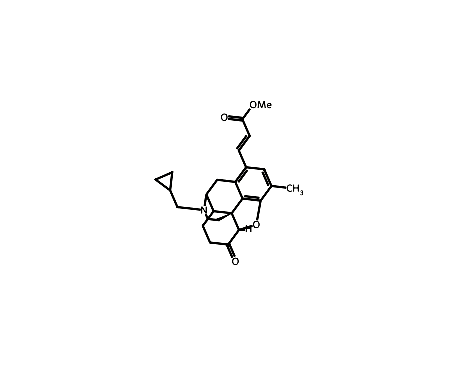 COC(=O)/C=C/c1cc(C)c2c3c1CC1C4CCC(=O)[C@@H](O2)[C@@]34CCN1CC1CC1